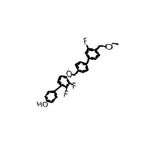 CCOCc1ccc(-c2ccc(COc3ccc(-c4ccc(O)cc4)c(F)c3F)cc2)cc1F